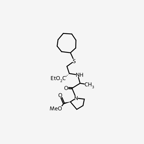 CCOC(=O)[C@H](CSC1CCCCCCC1)NC(C)C(=O)N1CCC[C@H]1C(=O)OC